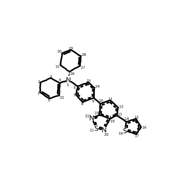 C1=CCCC(N(c2ccc(-c3ccc(-c4cccs4)c4nsnc34)cc2)[C@H]2C=CC=CC2)=C1